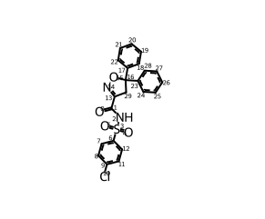 O=C(NS(=O)(=O)c1ccc(Cl)cc1)C1=NOC(c2ccccc2)(c2ccccc2)C1